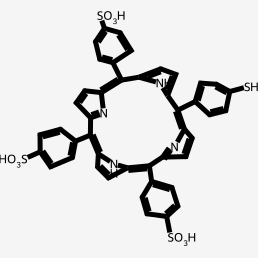 O=S(=O)(O)c1ccc(-c2c3nc(c(-c4ccc(S(=O)(=O)O)cc4)c4ccc([nH]4)c(-c4ccc(S(=O)(=O)O)cc4)c4nc(c(-c5ccc(S)cc5)c5ccc2[nH]5)C=C4)C=C3)cc1